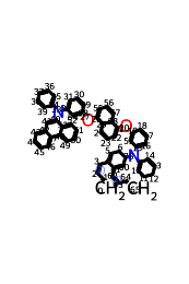 C=C/C=C\C1=CCC(N(C2=CCCC=C2)c2cccc(OC3=CC=CC4C(Oc5cccc(N(c6ccccc6)c6cc7ccccc7c7ccccc67)c5)=CC=CC34)c2)C=C1/C=C\C=C